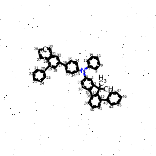 CC1(C)c2cc(N(c3ccccc3)c3ccc(-c4cc(-c5ccccc5)c5ccccc5c4)cc3)ccc2-c2cccc(-c3ccccc3)c21